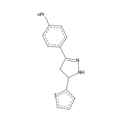 CCCc1ccc(C2=NNC(c3cccs3)C2)cc1